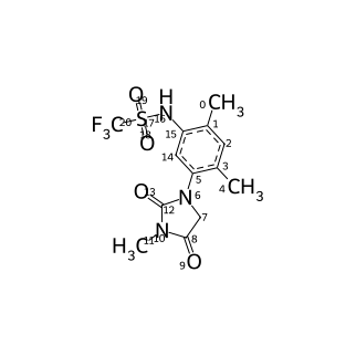 Cc1cc(C)c(N2CC(=O)N(C)C2=O)cc1NS(=O)(=O)C(F)(F)F